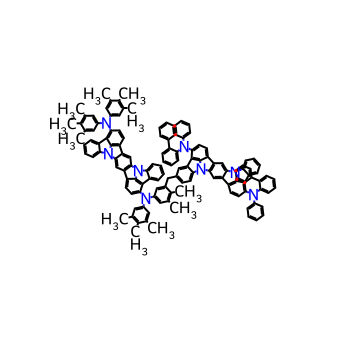 Cc1cc(N(c2cc(C)c(C)c(C)c2)c2ccc3c4cc5c(cc4n4c6ccccc6c2c34)c2ccc(N(c3cc(C)c(C)c(C)c3)c3cc(C)c(C)c(Cc4ccc6c(c4)c4c(N(c7ccccc7)c7ccccc7-c7ccccc7)ccc7c8cc9c(cc8n6c74)c4ccc(N(c6ccccc6)c6ccccc6-c6ccccc6)c6c7ccccc7n9c46)c3)c3c4ccccc4n5c23)cc(C)c1C